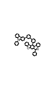 c1ccc(-c2nc3ccccc3c3c(-c4cccc(-c5cccc(-c6ccc7c(c6)c6ccccc6n7-c6ccccc6)c5)c4)c4c(cc23)oc2ccccc24)cc1